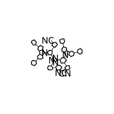 N#Cc1cccc(-c2cc(-c3nc(-c4cc(-c5cccc(C#N)c5)cc(-n5c6ccc(-c7ccccc7)cc6c6cc(-c7ccccc7)ccc65)c4)nc(-c4ccccc4-c4cccc(C#N)c4)n3)cc(-n3c4ccc(-c5ccccc5)cc4c4cc(-c5ccccc5)ccc43)c2)c1